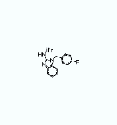 CC(C)Nc1nc2ccccc2n1Cc1ccc(F)cc1